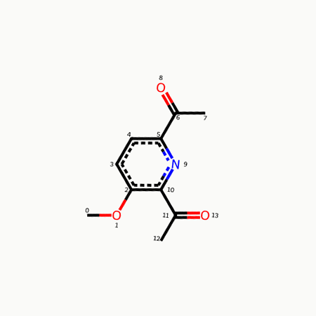 COc1ccc(C(C)=O)nc1C(C)=O